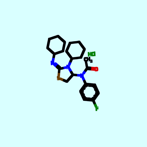 CC(=O)N(c1ccc(F)cc1)C1CSC(=NC2CCCCC2)N1C1CCCCC1.Cl